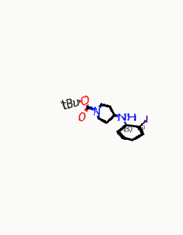 CC(C)(C)OC(=O)N1CCC(N[C@H]2CCCC[C@@H]2I)CC1